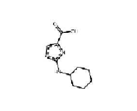 O=C(O)c1csc(NC2CCCCC2)n1